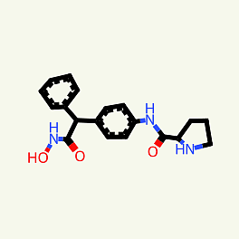 O=C(Nc1ccc(C(C(=O)NO)c2ccccc2)cc1)C1CCCN1